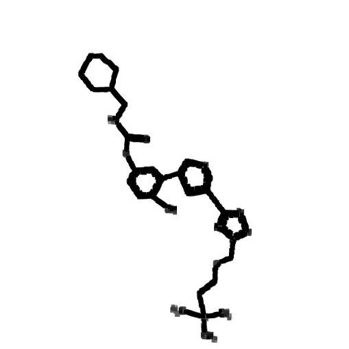 C[Si](C)(C)CCOCn1nnc(-c2cncc(-c3cc(OC(=O)NCC4CCCCC4)ccc3O)c2)n1